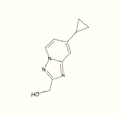 OCc1nc2cc(C3CC3)ccn2n1